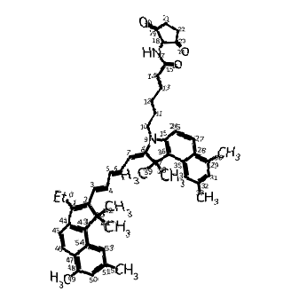 CCC1=C(/C=C/C=C/C=C2/N(CCCCCC(=O)NC3C(=O)CCC3=O)c3ccc4c(C)cc(C)cc4c3C2(C)C)C(C)(C)c2c1ccc1c(C)cc(C)cc21